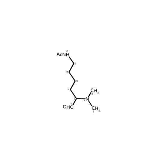 CC(=O)NCCCCC(C=O)N(C)C